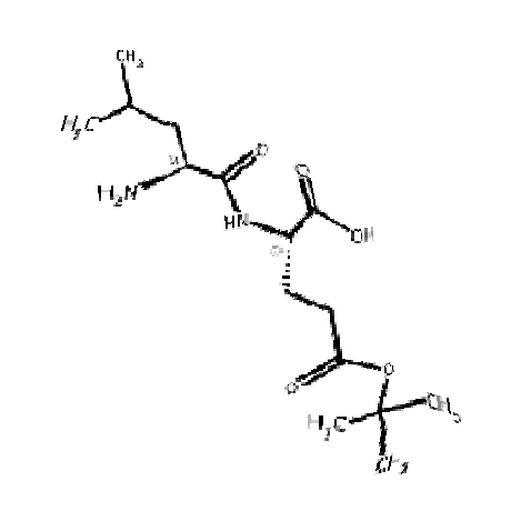 CC(C)C[C@H](N)C(=O)N[C@@H](CCC(=O)OC(C)(C)C)C(=O)O